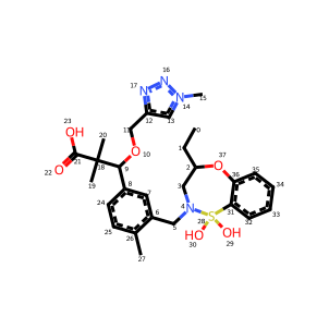 CCC1CN(Cc2cc(C(OCc3cn(C)nn3)C(C)(C)C(=O)O)ccc2C)S(O)(O)c2ccccc2O1